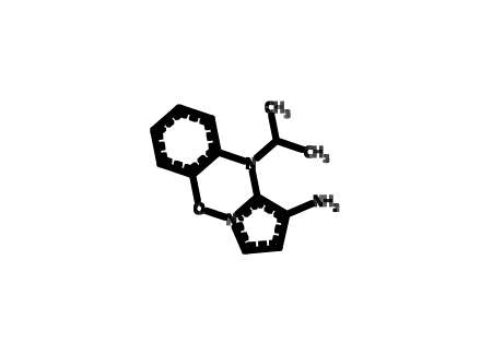 CC(C)N1c2ccccc2On2ccc(N)c21